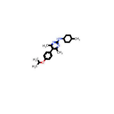 Cc1nc(NC2CCC(C)CC2)nc(C)c1-c1ccc(OC(C)C)cc1